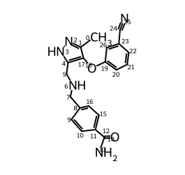 Cc1n[nH]c(CNCc2ccc(C(N)=O)cc2)c1Oc1cccc(C#N)c1